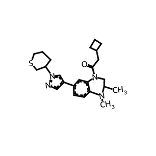 CC1CN(C(=O)CC2CCC2)c2cc(-c3cnn(C4CCCSC4)c3)ccc2N1C